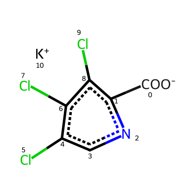 O=C([O-])c1ncc(Cl)c(Cl)c1Cl.[K+]